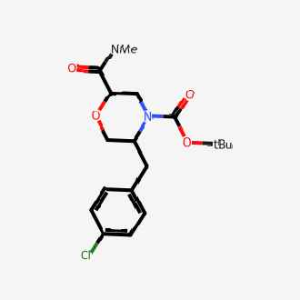 CNC(=O)C1CN(C(=O)OC(C)(C)C)C(Cc2ccc(Cl)cc2)CO1